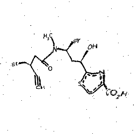 C#C[C@@H](CC)CC(=O)N(C)[C@H](C[C@@H](O)c1nc(C(=O)O)cs1)C(C)C